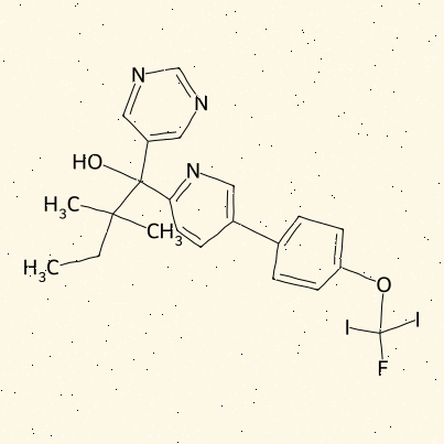 CCC(C)(C)C(O)(c1cncnc1)c1ccc(-c2ccc(OC(F)(I)I)cc2)cn1